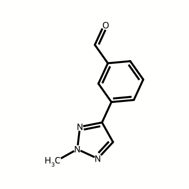 Cn1ncc(-c2cccc(C=O)c2)n1